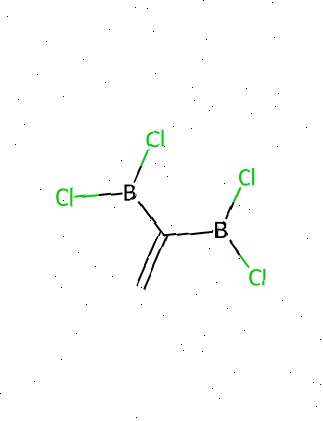 C=C(B(Cl)Cl)B(Cl)Cl